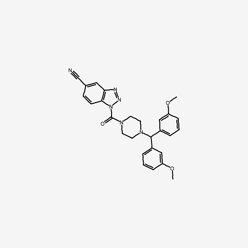 COc1cccc(C(c2cccc(OC)c2)N2CCN(C(=O)n3nnc4cc(C#N)ccc43)CC2)c1